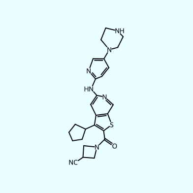 N#CC1CN(C(=O)c2sc3cnc(Nc4ccc(N5CCNCC5)cn4)cc3c2C2CCCC2)C1